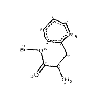 CC(Cc1ccccn1)C(=O)OBr